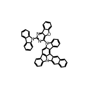 c1ccc2cc3c(cc2c1)c1c2c4ccccc4n(-c4nc(-n5c6ccccc6c6ccccc65)nc5c4oc4ccccc45)c2cc2c4ccccc4n3c21